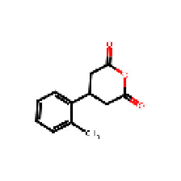 Cc1ccccc1C1CC(=O)OC(=O)C1